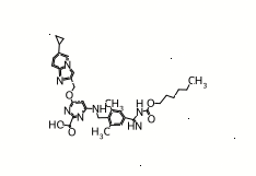 CCCCCCOC(=O)NC(=N)c1cc(C)c(CNc2cc(OCc3cn4cc(C5CC5)ccc4n3)nc(C(=O)O)n2)c(C)c1